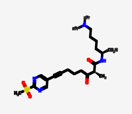 CCCN(CCC)CCCC[C@H](NC(=O)[C@H](C)C(=O)CCCC#Cc1cnc(S(C)(=O)=O)nc1)C(=O)O